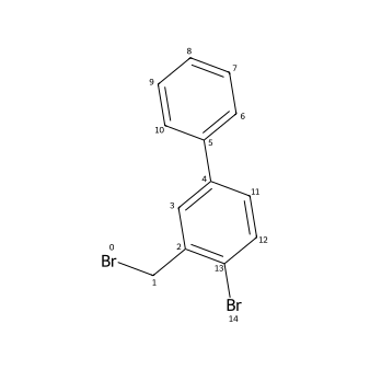 BrCc1cc(-c2ccccc2)ccc1Br